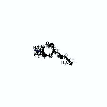 C=C/C(=C(\N=C/C)[C@H](C)OC)c1c2c3cc(ccc3n1CC)-c1csc(n1)C[C@H](NC(=O)CN1CC[C@@]3(CCN(C(=O)C#CC(C)(C)N4CCC4)C3)C1)C(=O)N1CCC[C@H](N1)C(=O)OCC(C)(C)C2